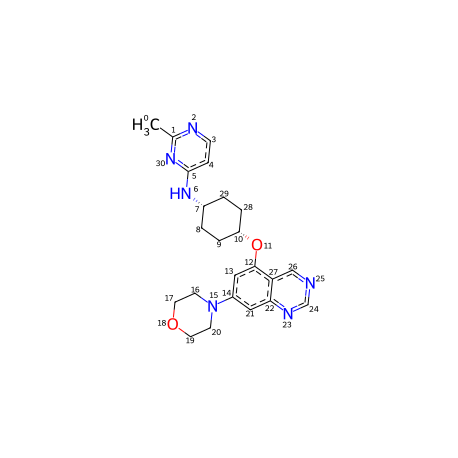 Cc1nccc(N[C@H]2CC[C@@H](Oc3cc(N4CCOCC4)cc4ncncc34)CC2)n1